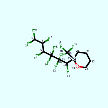 FC(F)C(F)C(F)C(F)(F)C(F)(F)C(F)[Si]1(C(F)(F)F)CCCCO1